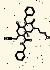 C#CCN1CC(=O)N2[C@@H](Cc3ccccc3)C(=O)N(CCOC)C[C@@H]2N1C(=O)NCc1ccccc1